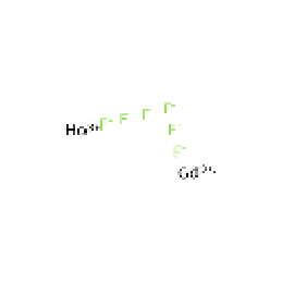 [F-].[F-].[F-].[F-].[F-].[F-].[Gd+3].[Ho+3]